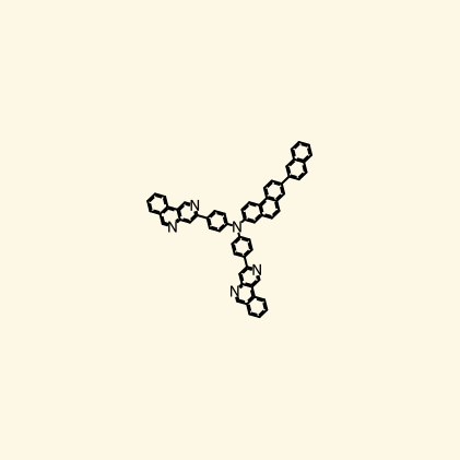 c1ccc2cc(-c3ccc4c(ccc5cc(N(c6ccc(-c7cc8ncc9ccccc9c8cn7)cc6)c6ccc(-c7cc8ncc9ccccc9c8cn7)cc6)ccc54)c3)ccc2c1